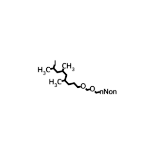 CCCCCCCCCCOCOCCCC(C)CC(C)CC(C)I